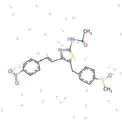 CC(=O)Nc1nc(C=Cc2ccc([N+](=O)[O-])cc2)c(Cc2ccc([S+](C)[O-])cc2)s1